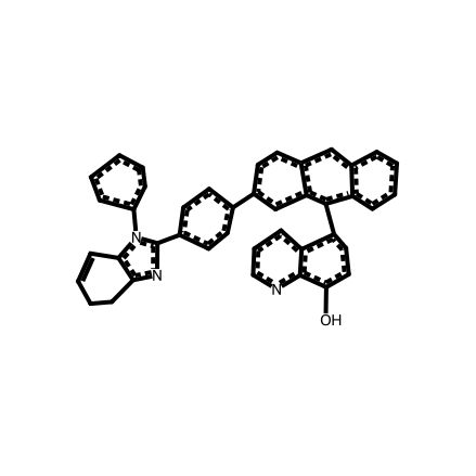 Oc1ccc(-c2c3ccccc3cc3ccc(-c4ccc(-c5nc6c(n5-c5ccccc5)C=CCC6)cc4)cc23)c2cccnc12